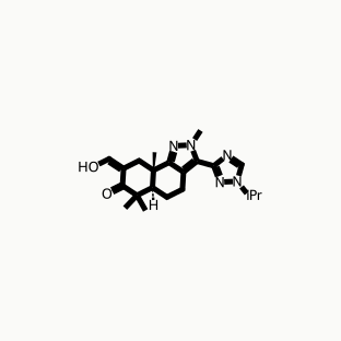 CC(C)n1cnc(-c2c3c(nn2C)[C@@]2(C)C/C(=C/O)C(=O)C(C)(C)[C@@H]2CC3)n1